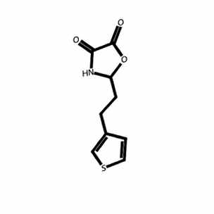 O=C1NC(CCc2ccsc2)OC1=O